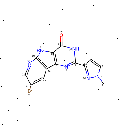 Cn1ccc(-c2nc3c([nH]c4ncc(Br)cc43)c(=O)[nH]2)n1